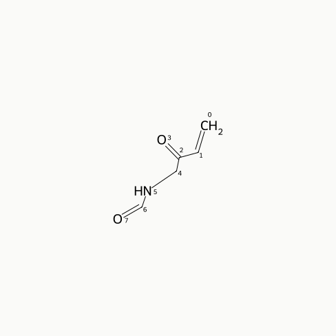 C=CC(=O)CNC=O